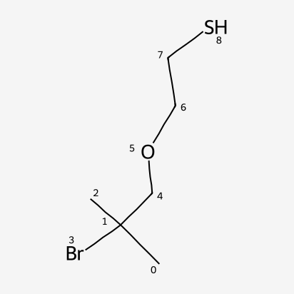 CC(C)(Br)COCCS